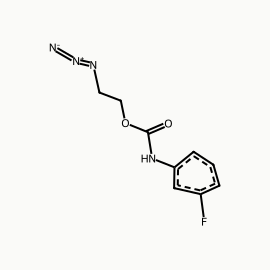 [N-]=[N+]=NCCOC(=O)Nc1cccc(F)c1